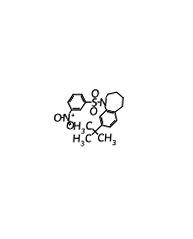 CC(C)(C)c1ccc2c(c1)N(S(=O)(=O)c1cccc([N+](=O)[O-])c1)CCCC2